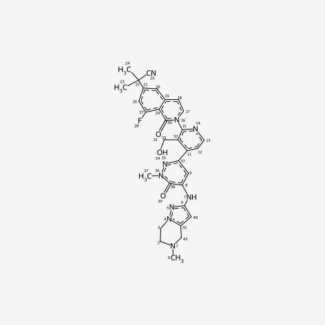 CN1CCn2nc(Nc3cc(-c4ccnc(-n5ccc6cc(C(C)(C)C#N)cc(F)c6c5=O)c4CO)nn(C)c3=O)cc2C1